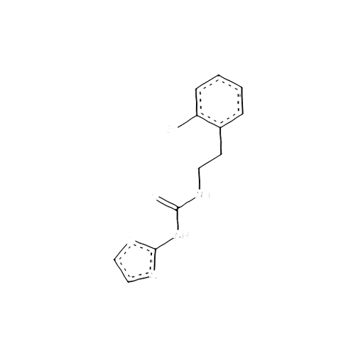 S=C(NCCc1ccccc1Br)Nc1nccs1